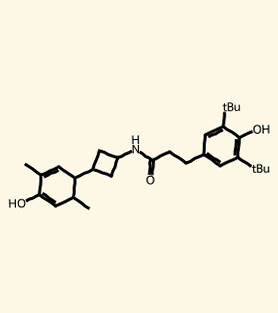 CC1=CC(C2CC(NC(=O)CCc3cc(C(C)(C)C)c(O)c(C(C)(C)C)c3)C2)C(C)C=C1O